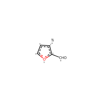 O=Cc1ccco1.[Ti]